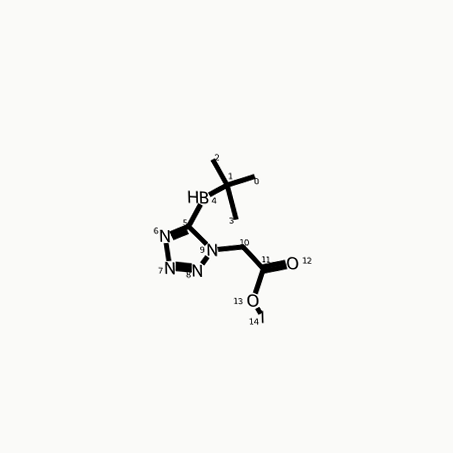 CC(C)(C)Bc1nnnn1CC(=O)OI